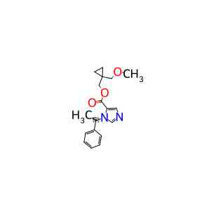 COCC1(COC(=O)c2cncn2[C@H](C)c2ccccc2)CC1